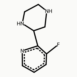 Fc1cccnc1C1CNCCN1